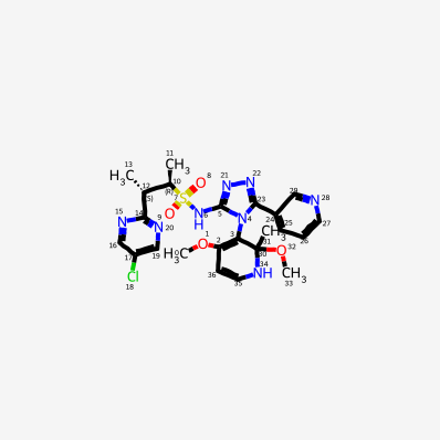 COC1=C(n2c(NS(=O)(=O)[C@H](C)[C@@H](C)c3ncc(Cl)cn3)nnc2-c2cccnc2)C(C)(OC)NC=C1